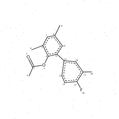 CC(=O)Oc1c(C)cc(C)cc1-c1ccc(F)c(C)c1